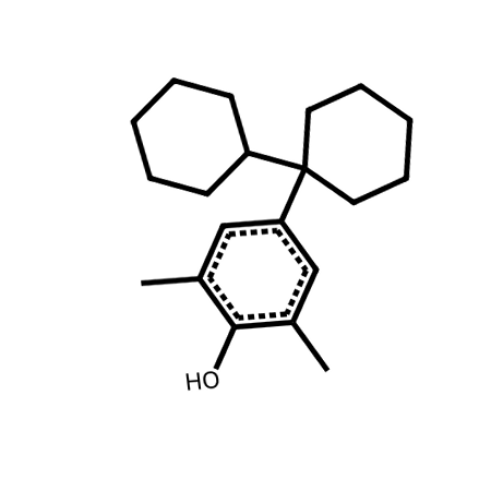 Cc1cc(C2(C3CCCCC3)CCCCC2)cc(C)c1O